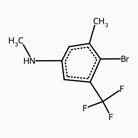 CNc1cc(C)c(Br)c(C(F)(F)F)c1